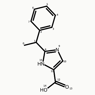 CC(c1ccccc1)c1ncc(C(=O)O)[nH]1